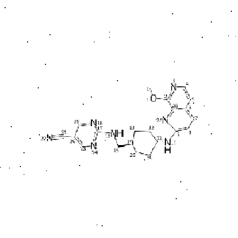 COc1nccc2ccc(N[C@H]3CC[C@H](CNc4ncc(C#N)cn4)CC3)nc12